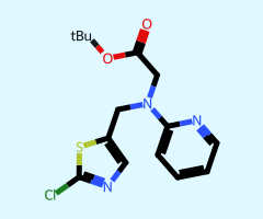 CC(C)(C)OC(=O)CN(Cc1cnc(Cl)s1)c1ccccn1